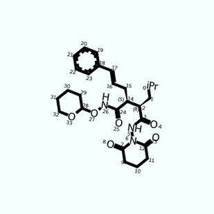 CC(C)C[C@@H](C(=O)NN1C(=O)CCCC1=O)[C@H](CC=Cc1ccccc1)C(=O)NOC1CCCCO1